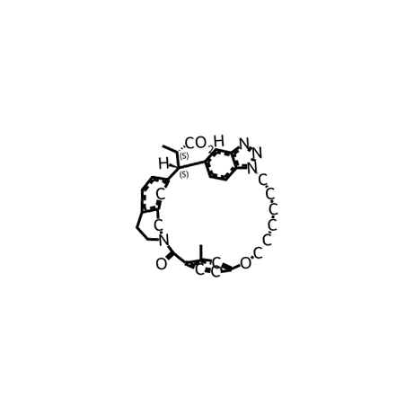 Cc1cc2ccc1C(=O)N1CCc3ccc(cc3C1)[C@H]([C@H](C)C(=O)O)c1ccc3c(c1)nnn3CCCCCCO2